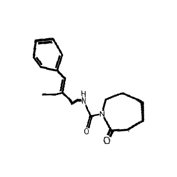 CC(=Cc1ccccc1)CNC(=O)N1CCCC[CH]C1=O